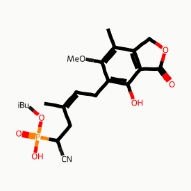 CCC(C)OP(=O)(O)C(C#N)CC(C)=CCc1c(O)c2c(c(C)c1OC)COC2=O